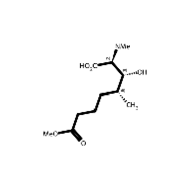 CN[C@H](C(=O)O)[C@H](O)[C@H](C)CCCC(=O)OC